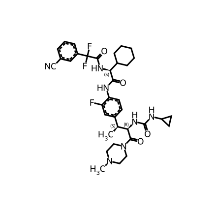 C[C@@H](c1ccc(NC(=O)[C@@H](NC(=O)C(F)(F)c2cccc(C#N)c2)C2CCCCC2)c(F)c1)[C@@H](NC(=O)NC1CC1)C(=O)N1CCN(C)CC1